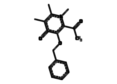 Cc1c(C)n(C)c(C(=O)C(F)(F)F)c(OCc2ccccc2)c1=O